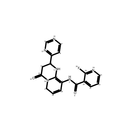 O=C(NC1=C2NC(c3ccncn3)CC(=O)N2CC=C1)c1cccnc1F